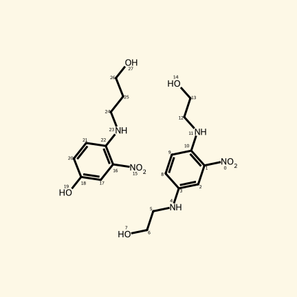 O=[N+]([O-])c1cc(NCCO)ccc1NCCO.O=[N+]([O-])c1cc(O)ccc1NCCCO